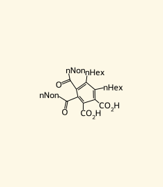 CCCCCCCCCC(=O)c1c(CCCCCC)c(CCCCCC)c(C(=O)O)c(C(=O)O)c1C(=O)CCCCCCCCC